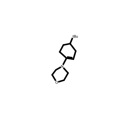 CC(C)(C)C1CC=C(N2CCOCC2)CC1